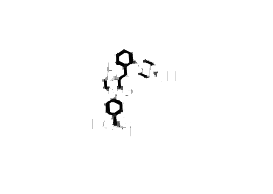 CN1CCN(c2cccc(F)c2CC2OCCN(c3ccc(C(C)(C)C)cc3)C2=O)CC1